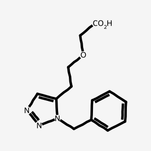 O=C(O)COCCc1cnnn1Cc1ccccc1